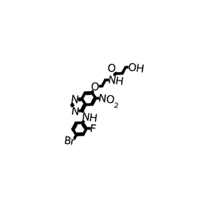 O=C(CCO)NCCOc1cc2ncnc(Nc3ccc(Br)cc3F)c2cc1[N+](=O)[O-]